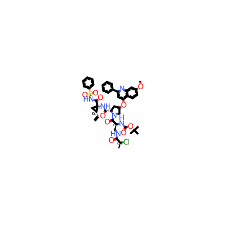 C=C[C@@H]1C[C@]1(NC(=O)[C@@H]1C[C@@H](Oc2cc(-c3ccccc3)nc3cc(OC)ccc23)CN1C(=O)[C@H](CNC(=O)[C@H](C)Cl)NC(=O)OC(C)(C)C)C(=O)NS(=O)(=O)c1ccccc1